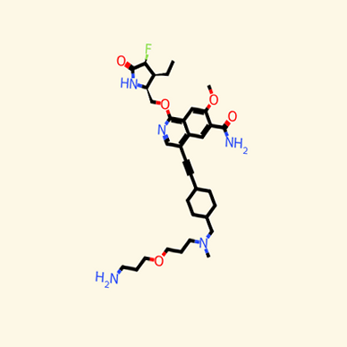 CC[C@@H]1[C@H](F)C(=O)N[C@@H]1COc1ncc(C#CC2CCC(CN(C)CCCOCCCN)CC2)c2cc(C(N)=O)c(OC)cc12